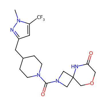 Cn1nc(CC2CCN(C(=O)N3CC4(COCC(=O)N4)C3)CC2)cc1C(F)(F)F